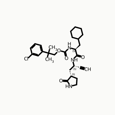 C#C[C@H](C[C@@H]1CCNC1=O)NC(=O)[C@H](CC1CCCCC1)NC(=O)OCC(C)(C)c1cccc(Cl)c1